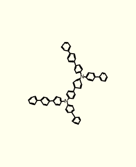 c1ccc(-c2ccc(-c3ccc(N(c4ccc(-c5ccccc5)cc4)c4ccc(-c5ccc(N(c6ccc(-c7ccccc7)cc6)c6ccc(-c7ccc(-c8ccccc8)cc7)cc6)cc5)cc4)cc3)cc2)cc1